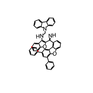 N=C(c1oc2ccccc2c1NCn1c2ccccc2c2ccccc21)c1cccc2oc3c(-c4ccccc4)cc(-c4ccccc4)cc3c12